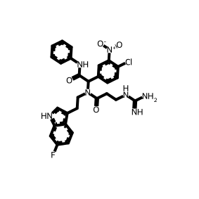 N=C(N)NCCC(=O)N(CCc1c[nH]c2cc(F)ccc12)C(C(=O)Nc1ccccc1)c1ccc(Cl)c([N+](=O)[O-])c1